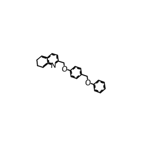 C1=c2ccc(COc3ccc(COc4ccccc4)cc3)nc2=CCC1